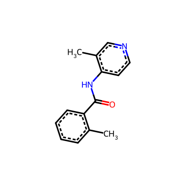 Cc1cnccc1NC(=O)c1ccccc1C